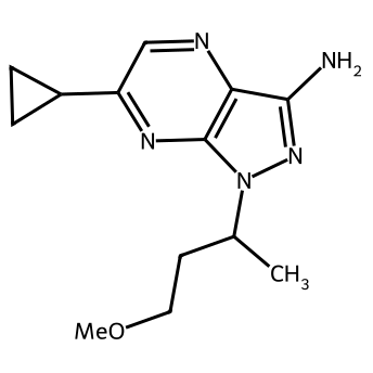 COCCC(C)n1nc(N)c2ncc(C3CC3)nc21